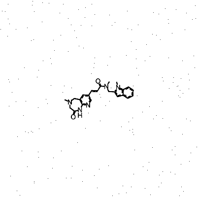 CN1CC(=O)Nc2ncc(C=CC(=O)N(C)Cc3cc4ccccc4n3C)cc2C1